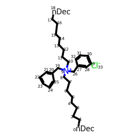 CCCCCCCCCCCCCCCCCC[N+](CCCCCCCCCCCCCCCCCC)(Cc1ccccc1)Cc1ccccc1.[Cl-]